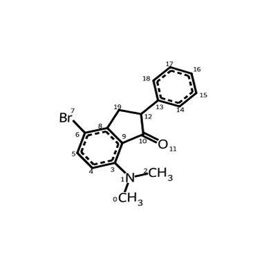 CN(C)c1ccc(Br)c2c1C(=O)C(c1ccccc1)C2